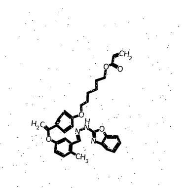 C=CC(=O)OCCCCCCOc1ccc(C(=C)Oc2ccc(C)c(/C=N/Nc3nc4ccccc4o3)c2)cc1